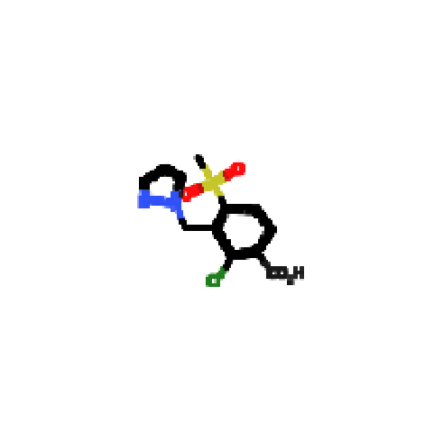 CS(=O)(=O)c1ccc(C(=O)O)c(Cl)c1Cn1cccn1